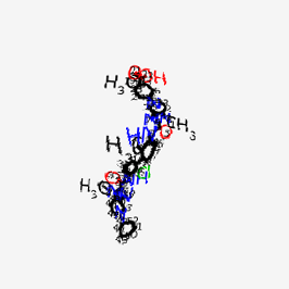 Cc1c(NC(=O)c2nc3c(n2C)CCN(C2CCC(C)(C(=O)O)CC2)C3)cccc1-c1cccc(NC(=O)c2nc3c(n2C)CCN(C2CCCCC2)C3)c1Cl